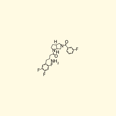 N[C@@H](CC(=O)N1CC[C@H]2CN(C(=O)c3cccc(F)c3)C[C@H]21)Cc1cc(F)c(F)cc1F